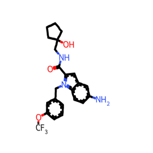 Nc1ccc2c(c1)cc(C(=O)NCC1(O)CCCC1)n2Cc1cccc(OC(F)(F)F)c1